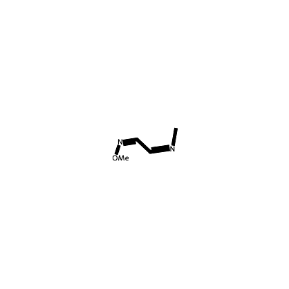 C/N=C\C=N/OC